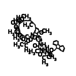 COc1cc2cc(c1-c1ccc(NC(=O)[C@H](C)NC(=O)[C@@H](NC(=O)OCC3c4ccccc4-c4ccccc43)C(C)C)cc1)N(C)C(=O)C[C@H](OC(=O)C(C)C)[C@]1(C)O[C@H]1[C@H](C)[C@@H]1C[C@@](O)(NC(=O)O1)[C@H](OC)/C=C/C=C(\C)C2